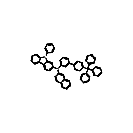 C1=C(c2cccc(N(c3ccc4ccccc4c3)c3ccc4c5ccccc5n(-c5ccccc5)c4c3)c2)CCC(C(c2ccccc2)(c2ccccc2)c2ccccc2)=C1